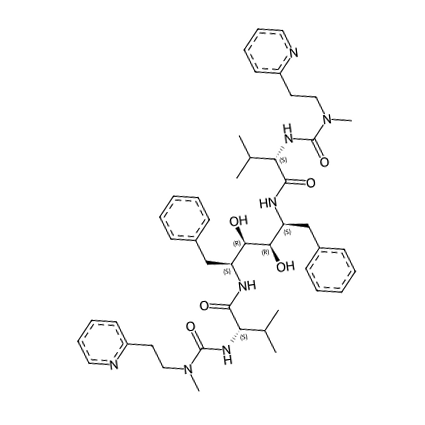 CC(C)[C@H](NC(=O)N(C)CCc1ccccn1)C(=O)N[C@@H](Cc1ccccc1)[C@@H](O)[C@H](O)[C@H](Cc1ccccc1)NC(=O)[C@@H](NC(=O)N(C)CCc1ccccn1)C(C)C